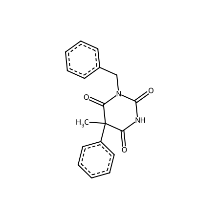 CC1(c2ccccc2)C(=O)NC(=O)N(Cc2ccccc2)C1=O